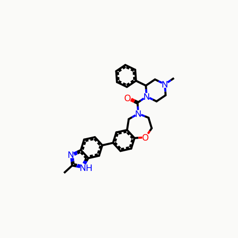 Cc1nc2ccc(-c3ccc4c(c3)CN(C(=O)N3CCN(C)CC3c3ccccc3)CCO4)cc2[nH]1